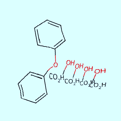 O=C(O)O.O=C(O)O.O=C(O)O.O=C(O)O.c1ccc(Oc2ccccc2)cc1